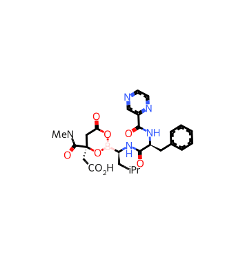 CNC(=O)[C@@]1(CC(=O)O)CC(=O)OB([C@H](CC(C)C)NC(=O)[C@H](Cc2ccccc2)NC(=O)c2cnccn2)O1